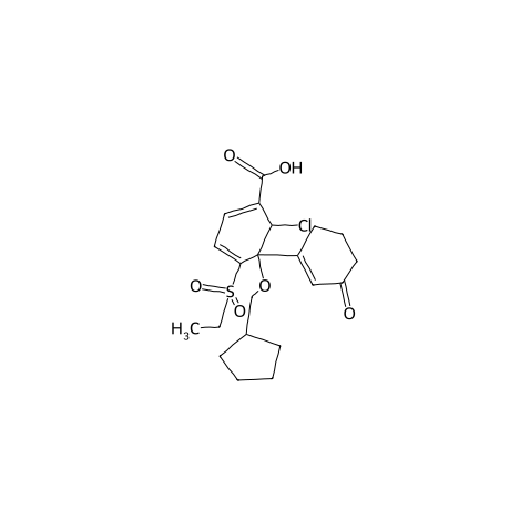 CCS(=O)(=O)C1=CC=C(C(=O)O)C(Cl)C1(OCC1CCCC1)C1=CC(=O)CCC1